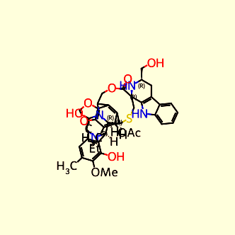 CCN1CC2(O)Cc3cc(C)c(OC)c(O)c3[C@@H]1[C@@H]1[C@@H]3SC[C@]4(N[C@@H](CO)Cc5c4[nH]c4ccccc54)C(=O)OCC(c4c5c(c(C)c(OC(C)=O)c43)OCO5)N12